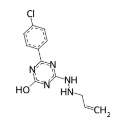 C=CCNNc1nc(O)nc(-c2ccc(Cl)cc2)n1